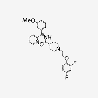 COc1cccc([C@H](NC(=O)C2CCN(CCOc3ccc(F)cc3F)CC2)c2ccccn2)c1